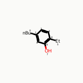 CCCCc1ccc(CC)c(O)c1